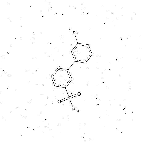 CS(=O)(=O)c1cc[c]c(-c2cccc(F)c2)c1